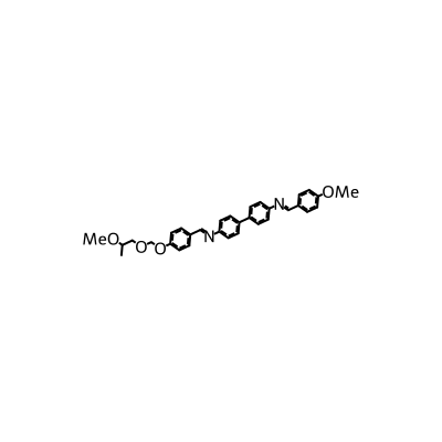 COc1ccc(C=Nc2ccc(-c3ccc(N=Cc4ccc(OCOCC(C)OC)cc4)cc3)cc2)cc1